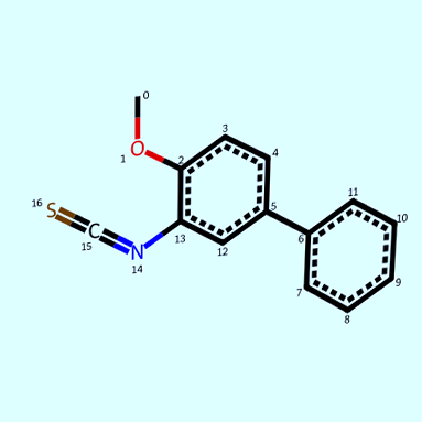 COc1ccc(-c2ccccc2)cc1N=C=S